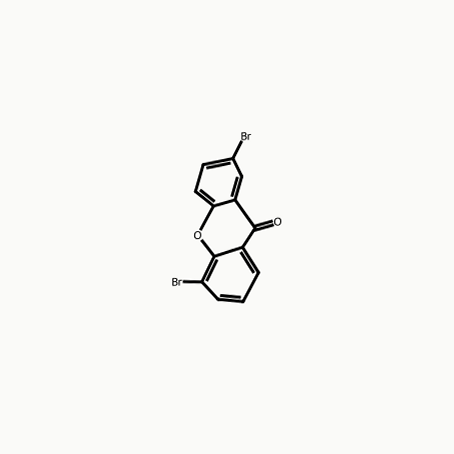 O=c1c2cc(Br)ccc2oc2c(Br)cccc12